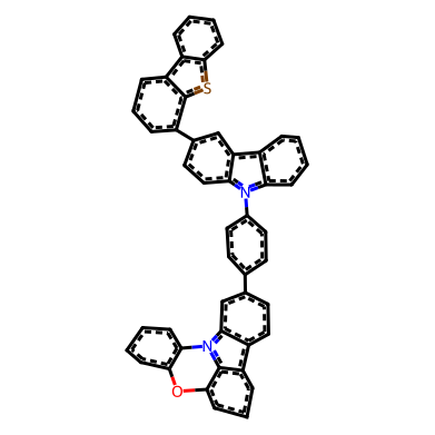 c1ccc2c(c1)Oc1cccc3c4ccc(-c5ccc(-n6c7ccccc7c7cc(-c8cccc9c8sc8ccccc89)ccc76)cc5)cc4n-2c13